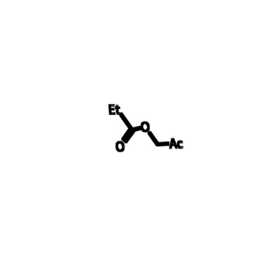 [CH2]CC(=O)OCC(C)=O